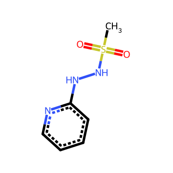 CS(=O)(=O)NNc1ccccn1